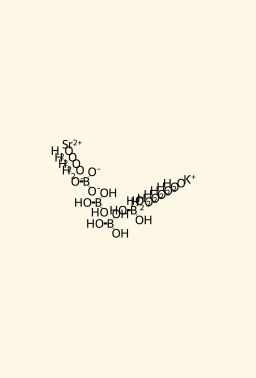 O.O.O.O.O.O.O.O.O.O.OB(O)O.OB(O)O.OB(O)O.[K+].[O-]B([O-])[O-].[Sr+2]